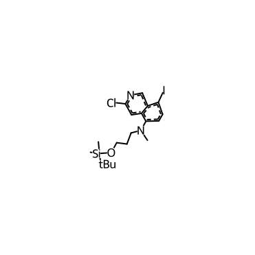 CN(CCCO[Si](C)(C)C(C)(C)C)c1ccc(I)c2cnc(Cl)cc12